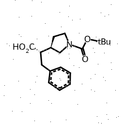 CC(C)(C)OC(=O)N1CC[C@H]([C@H](Cc2ccccc2)C(=O)O)C1